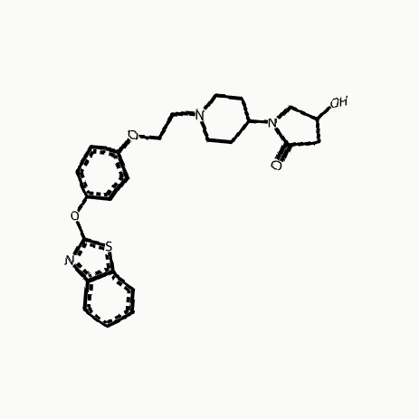 O=C1CC(O)CN1C1CCN(CCOc2ccc(Oc3nc4ccccc4s3)cc2)CC1